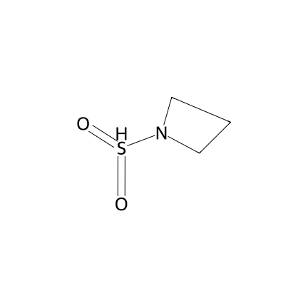 O=[SH](=O)N1CCC1